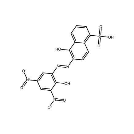 O=[N+]([O-])c1cc(N=Nc2ccc3c(S(=O)(=O)O)cccc3c2O)c(O)c([N+](=O)[O-])c1